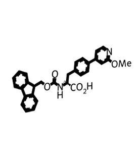 COc1cc(-c2ccc(C[C@H](NC(=O)OCC3c4ccccc4-c4ccccc43)C(=O)O)cc2)ccn1